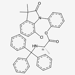 C[C@H](NC(c1ccccc1)(c1ccccc1)c1ccccc1)C(=O)Oc1ccccc1N1C(=O)C(C)(C)c2cccc(Cl)c21